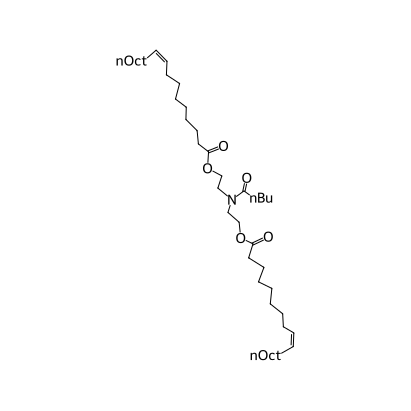 CCCCCCCC/C=C\CCCCCCCC(=O)OCCN(CCOC(=O)CCCCCCC/C=C\CCCCCCCC)C(=O)CCCC